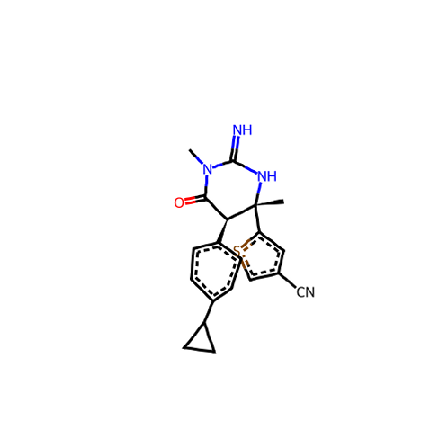 CN1C(=N)N[C@](C)(c2cc(C#N)cs2)[C@@H](c2ccc(C3CC3)cc2)C1=O